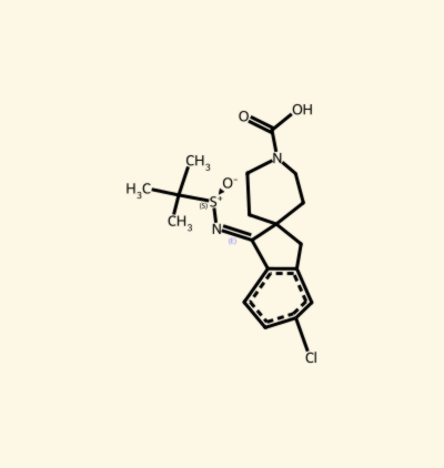 CC(C)(C)[S@@+]([O-])/N=C1/c2ccc(Cl)cc2CC12CCN(C(=O)O)CC2